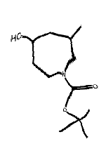 CC1CC(O)CCN(C(=O)OC(C)(C)C)C1